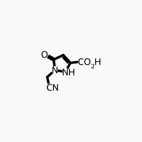 N#CCn1[nH]c(C(=O)O)cc1=O